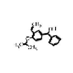 C=Cc1cc(C(O)c2ccccc2)ccc1OC(C)C